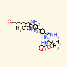 CC(C)C(CCCCCC=O)C[C@](N)(CN)c1ccc(-c2ccc(/C(=C/N)NC[C@@H](NC(=O)C3CCCCO3)C(C)C)cc2)cc1